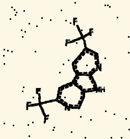 FC(F)(F)c1cnc2[nH]c3cnc(C(F)(F)F)cc3c2c1